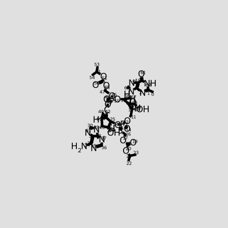 Cc1nc2c(ncn2[C@@H]2O[C@@H]3COP(=O)(SCOC(=O)OC(C)C)O[C@H]4[C@@H](O)[C@H](n5cnc6c(N)ncnc65)[C@H]5CC54COP(=O)(OCOC(=O)OC(C)C)O[C@@H]2[C@@H]3CO)c(=O)[nH]1